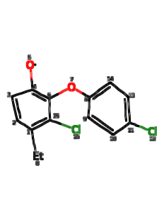 CCc1ccc([O])c(Oc2ccc(Cl)cc2)c1Cl